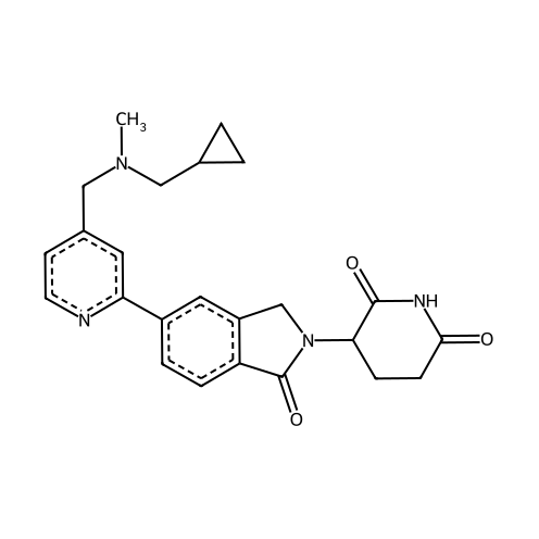 CN(Cc1ccnc(-c2ccc3c(c2)CN(C2CCC(=O)NC2=O)C3=O)c1)CC1CC1